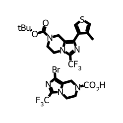 Cc1cscc1-c1nc(C(F)(F)F)n2c1CN(C(=O)OC(C)(C)C)CC2.O=C(O)N1CCn2c(C(F)(F)F)nc(Br)c2C1